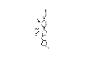 C#CCOc1ccc(C2CCN(Cc3ccc(Cl)cc3)[C@@H]2C(=O)O)cc1OC